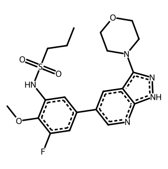 CCCS(=O)(=O)Nc1cc(-c2cnc3[nH]nc(N4CCOCC4)c3c2)cc(F)c1OC